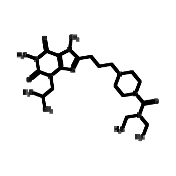 CCN(CC)C(=O)N1CCN(CCCc2nc3c(c(=O)n(C)c(=O)n3CC(C)C)n2C)CC1